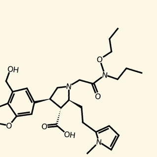 CCCON(CCC)C(=O)CN1C[C@H](c2cc(CO)c3c(c2)OCO3)[C@@H](C(=O)O)[C@@H]1CCc1cccn1C